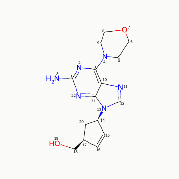 Nc1nc(N2CCOCC2)c2ncn([C@H]3C=C[C@@H](CO)C3)c2n1